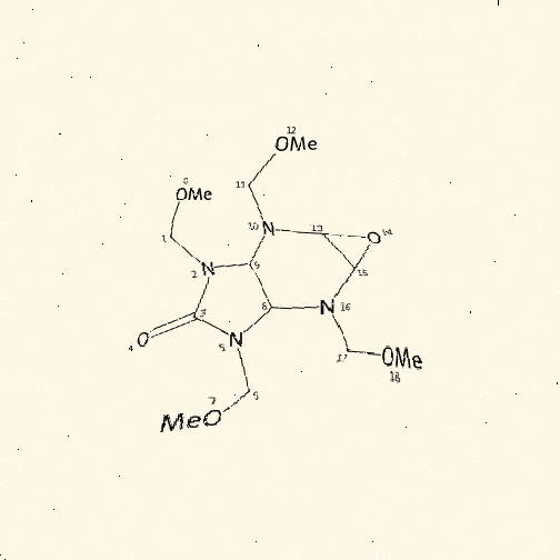 COCN1C(=O)N(COC)C2C1N(COC)C1OC1N2COC